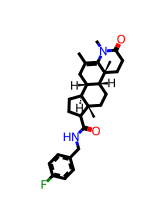 CC1=C2N(C)C(=O)CC[C@]2(C)[C@@H]2CC[C@]3(C)C(C(=O)NCc4ccc(F)cc4)CC[C@H]3[C@@H]2C1